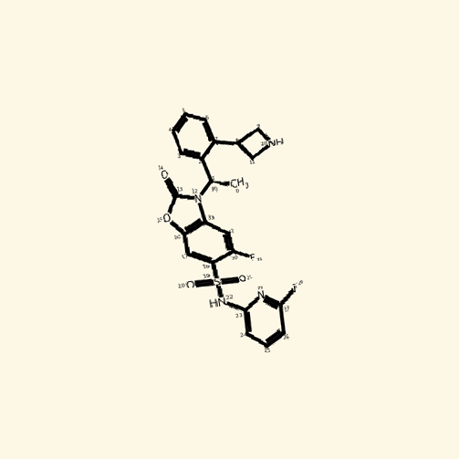 C[C@H](c1ccccc1C1CNC1)n1c(=O)oc2cc(S(=O)(=O)Nc3cccc(F)n3)c(F)cc21